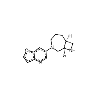 c1cc2ncc(N3CCC[C@H]4CN[C@H]4C3)cc2o1